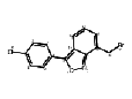 Clc1ccc(-c2onc3c(CBr)cccc23)cc1